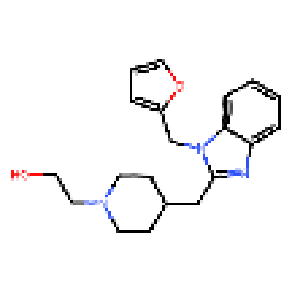 OCCN1CCC(Cc2nc3ccccc3n2Cc2ccco2)CC1